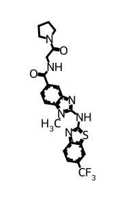 Cn1c(Nc2nc3ccc(C(F)(F)F)cc3s2)nc2cc(C(=O)NCC(=O)N3CCCC3)ccc21